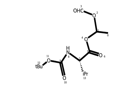 CC(OC=O)OC(=O)[C@@H](NC(=O)OC(C)(C)C)C(C)C